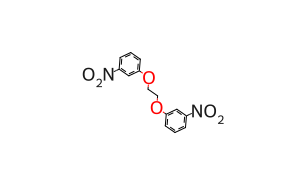 O=[N+]([O-])c1cccc(OCCOc2cccc([N+](=O)[O-])c2)c1